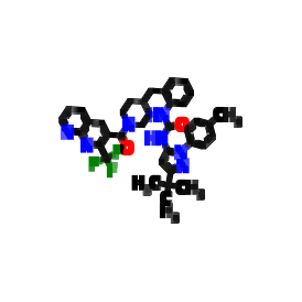 Cc1ccc(-n2nc(C(C)(C)C)cc2NC(=O)Nc2ccccc2CC2CCN(C(=O)c3cc4cccnc4nc3C(F)(F)F)CC2)cc1